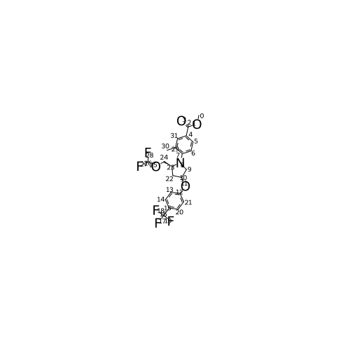 COC(=O)c1ccc(N2C[C@@H](Oc3ccc(C(F)(F)F)cc3)C[C@H]2COC(F)F)c(C)c1